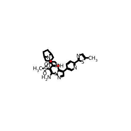 Cc1cnc(-c2ccc(-c3cnn4c(N)c(S(C)(=O)=O)c(C5CC6CCC(C5)N6C(=O)CO)nc34)cn2)s1